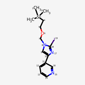 C[Si](C)(C)CCOCn1cc(-c2cccnc2)nc1I